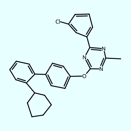 Cc1nc(Oc2ccc(-c3ccccc3C3CCCCC3)cc2)nc(-c2cccc(Cl)c2)n1